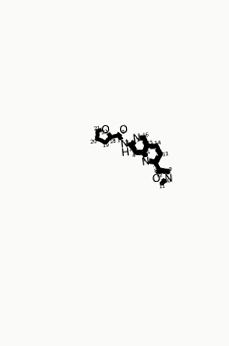 O=C(Nc1cc2nc(-c3cnco3)ccc2cn1)C1CCCO1